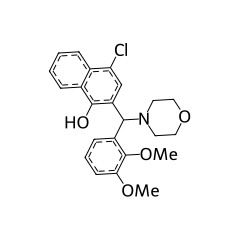 COc1cccc(C(c2cc(Cl)c3ccccc3c2O)N2CCOCC2)c1OC